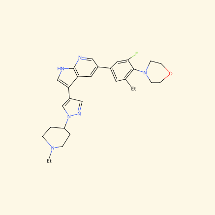 CCc1cc(-c2cnc3[nH]cc(-c4cnn(C5CCN(CC)CC5)c4)c3c2)cc(F)c1N1CCOCC1